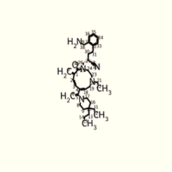 C=C1/C=C\C(C(=C)N2CCC(CC)(CCC)CC2)=C/CN(CC)CCN(C[C@@H](C#N)CCc2ccccc2CN)C1=O